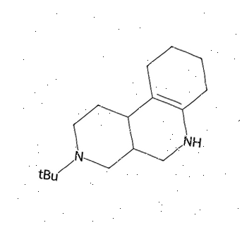 CC(C)(C)N1CCC2C3=C(CCCC3)NCC2C1